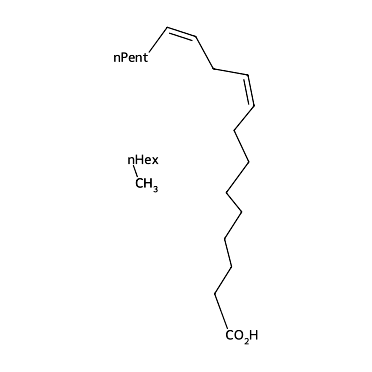 CCCCC/C=C\C/C=C\CCCCCCCC(=O)O.CCCCCCC